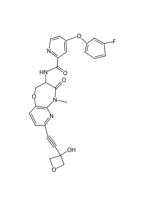 CN1C(=O)C(NC(=O)c2cc(Oc3cccc(F)c3)ccn2)COc2ccc(C#CC3(O)COC3)nc21